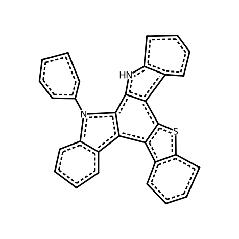 c1ccc(-n2c3ccccc3c3c4c5ccccc5sc4c4c5ccccc5[nH]c4c32)cc1